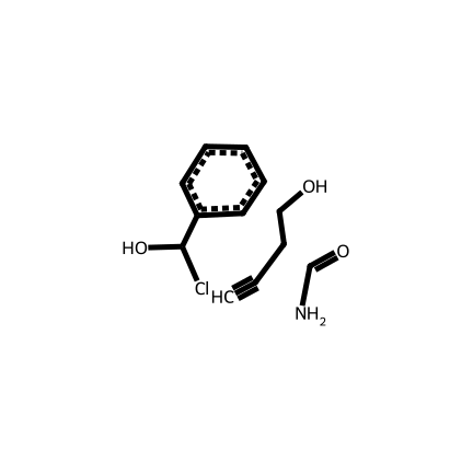 C#CCCO.NC=O.OC(Cl)c1ccccc1